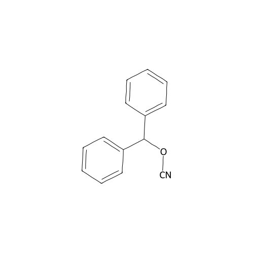 N#COC(c1ccccc1)c1ccccc1